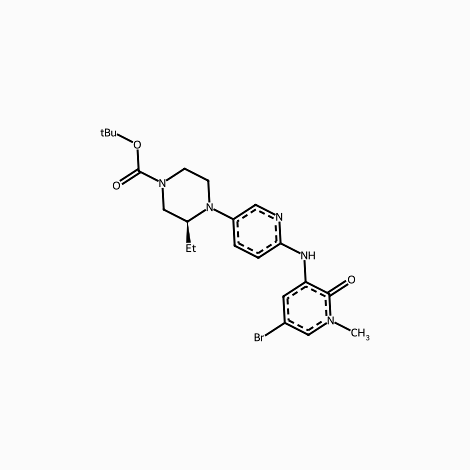 CC[C@H]1CN(C(=O)OC(C)(C)C)CCN1c1ccc(Nc2cc(Br)cn(C)c2=O)nc1